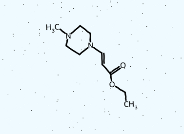 CCOC(=O)C=CN1CCN(C)CC1